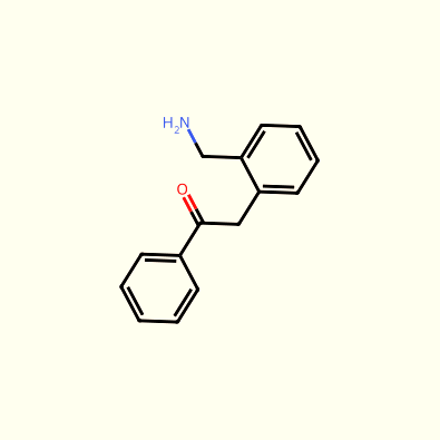 NCc1ccccc1CC(=O)c1ccccc1